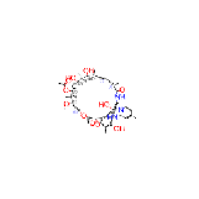 CO[C@H]1/C=C/O[C@@]2(C)Oc3c(C)c(O)c4c(O)c(c5c(c4c3C2=O)NC2C=C(C)C=CN52)NC(=O)/C(C)=C\C=C\[C@H](C)[C@H](O)[C@@H](C)[C@@H](O)C[C@H](OC(C)=O)[C@@H]1C